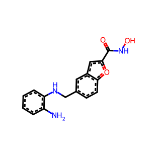 Nc1ccccc1NCc1ccc2oc(C(=O)NO)cc2c1